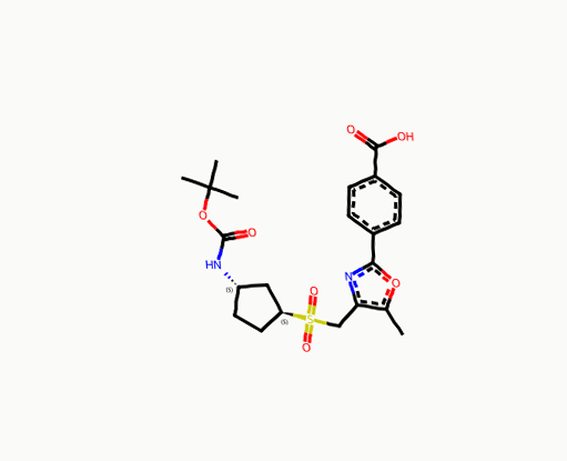 Cc1oc(-c2ccc(C(=O)O)cc2)nc1CS(=O)(=O)[C@H]1CC[C@H](NC(=O)OC(C)(C)C)C1